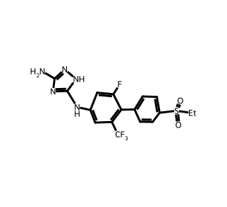 CCS(=O)(=O)c1ccc(-c2c(F)cc(Nc3nc(N)n[nH]3)cc2C(F)(F)F)cc1